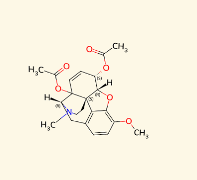 COc1ccc2c3c1O[C@H]1[C@@H](OC(C)=O)C=CC4(OC(C)=O)[C@@H](C2)N(C)CC[C@]314